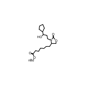 CCCCOC(=O)CCCCCCC1COC(=O)N1CCC(O)C1CCCC1